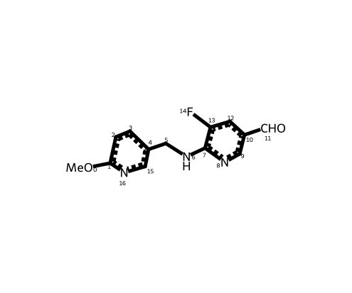 COc1ccc(CNc2ncc(C=O)cc2F)cn1